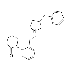 O=C1CCCCN1c1ccccc1CCN1CCC(Cc2ccccc2)C1